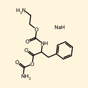 NCCOC(=O)NC(Cc1ccccc1)C(=O)OC(N)=O.[NaH]